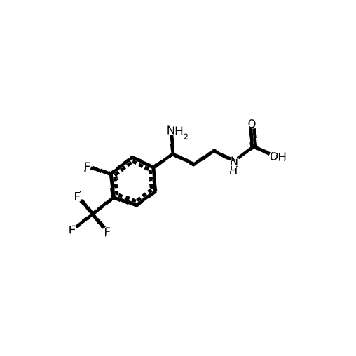 NC(CCNC(=O)O)c1ccc(C(F)(F)F)c(F)c1